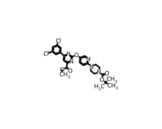 COC(=O)c1cc(-c2cc(Cl)cc(Cl)c2)nc(Oc2ccc(N3CCN(C(=O)OC(C)(C)C)CC3)nc2)n1